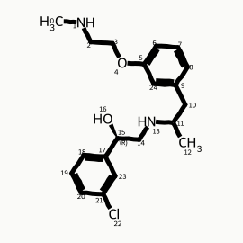 CNCCOc1cccc(CC(C)NC[C@H](O)c2cccc(Cl)c2)c1